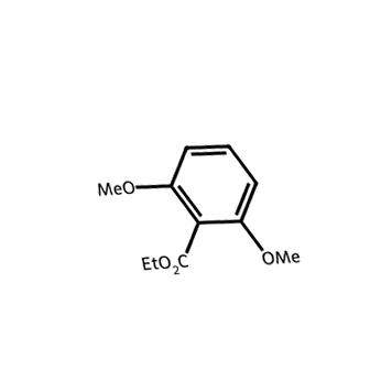 CCOC(=O)c1c(OC)cccc1OC